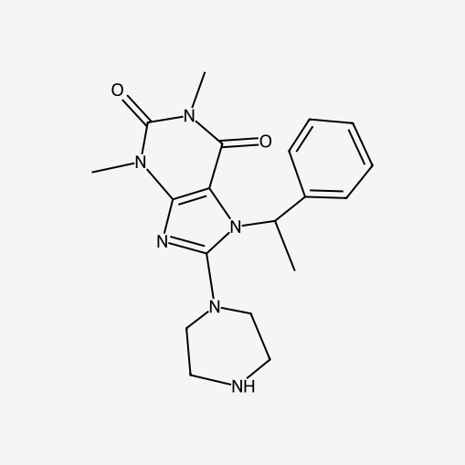 CC(c1ccccc1)n1c(N2CCNCC2)nc2c1c(=O)n(C)c(=O)n2C